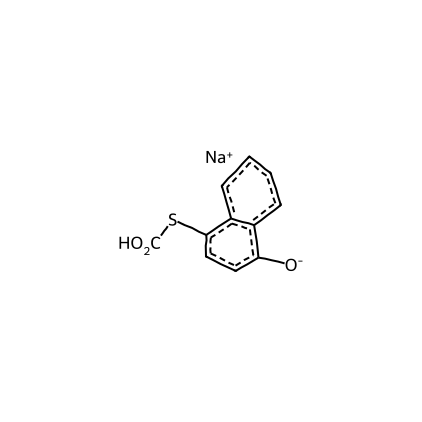 O=C(O)Sc1ccc([O-])c2ccccc12.[Na+]